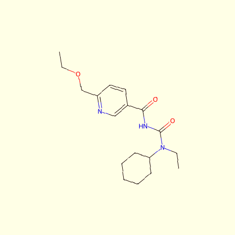 CCOCc1ccc(C(=O)NC(=O)N(CC)C2CCCCC2)cn1